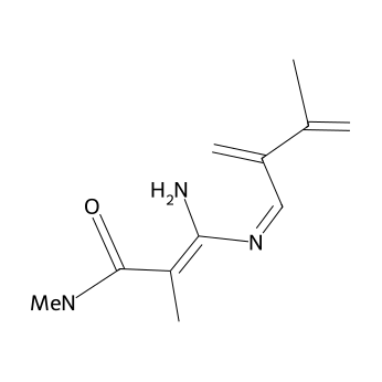 C=C(C)C(=C)/C=N\C(N)=C(/C)C(=O)NC